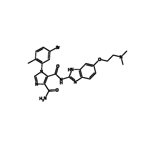 Cc1ccc(Br)cc1-n1cnc(C(N)=O)c1C(=O)Nc1nc2ccc(OCCN(C)C)cc2[nH]1